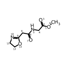 COC(=O)CNC(=O)CC1=NCCO1